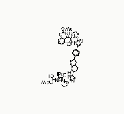 COC(=O)N[C@H](C(=O)N1CCC[C@H]1c1ncc(-c2ccc(-c3ccc4cc(-c5cnc([C@@H]6CCCN6C(=O)[C@@H](NC(O)OC)C(C)C)[nH]5)ccc4c3)cc2)[nH]1)c1ccccc1Cl